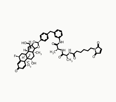 C[C@H](NC(=O)CCCCCN1C(=O)C=CC1=O)C(=O)N[C@@H](C)C(=O)Nc1cccc(Cc2ccc([C@@H]3O[C@@H]4C[C@H]5[C@@H]6C[C@H](F)C7=CC(=O)C=C[C@]7(C)[C@@]6(F)[C@@H](O)C[C@]5(C)[C@]4(C(=O)CO)O3)cc2)c1